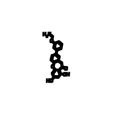 NCOc1cccc(-c2ccc3c(c2)CC(=O)c2c(O)cc(O)cc2O3)c1